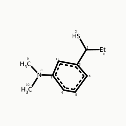 CCC(S)c1cccc(N(C)C)c1